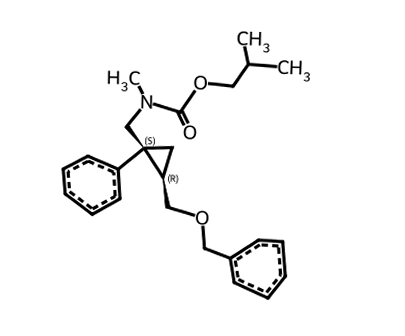 CC(C)COC(=O)N(C)C[C@@]1(c2ccccc2)C[C@H]1COCc1ccccc1